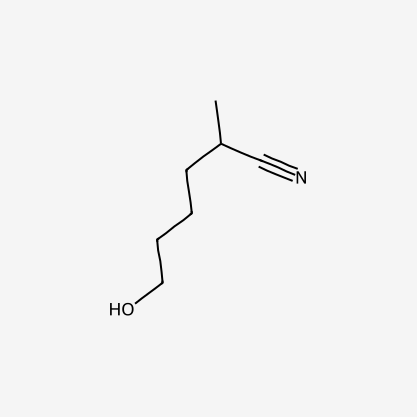 CC(C#N)CCCCO